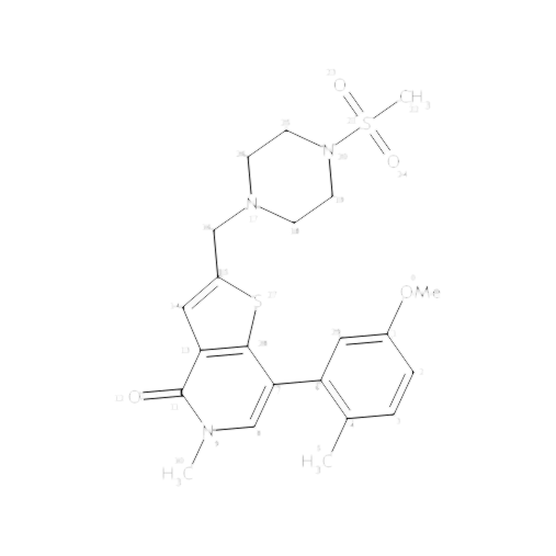 COc1ccc(C)c(-c2cn(C)c(=O)c3cc(CN4CCN(S(C)(=O)=O)CC4)sc23)c1